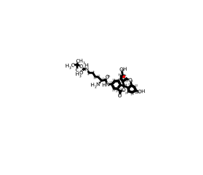 CC(C)(C)OC(=O)NCCCC[C@H](N)C(=O)Nc1ccc2c(c1)C(=O)OC21c2ccc(O)cc2Oc2cc(O)ccc21